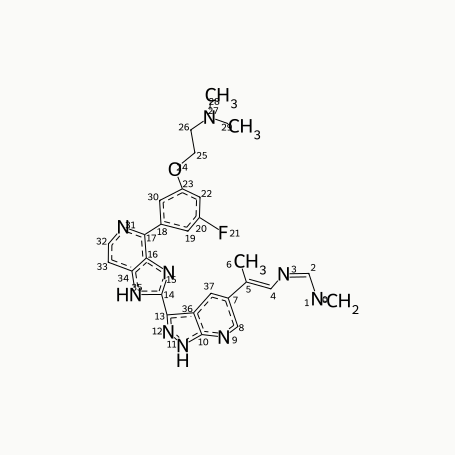 C=N/C=N\C=C(/C)c1cnc2[nH]nc(-c3nc4c(-c5cc(F)cc(OCCN(C)C)c5)nccc4[nH]3)c2c1